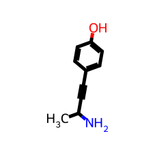 CC(N)C#Cc1ccc(O)cc1